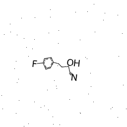 N#CC(O)CCc1ccc(F)cc1